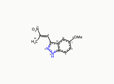 COc1ccc2[nH]nc(C=C(C)[N+](=O)[O-])c2c1